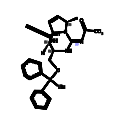 C=C1N[C@H]2[C@H](CO[Si](c3ccccc3)(c3ccccc3)C(C)(C)C)N/C(=N/C(=O)C(Cl)(Cl)Cl)N3[C@H](C)C=CC23N1